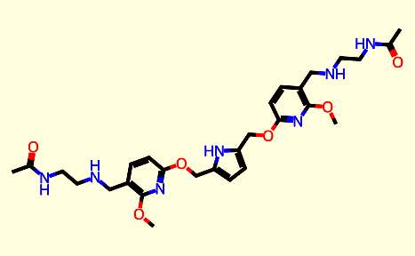 COc1nc(OCc2ccc(COc3ccc(CNCCNC(C)=O)c(OC)n3)[nH]2)ccc1CNCCNC(C)=O